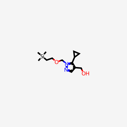 C[Si](C)(C)CCOCn1ncc(CO)c1C1CC1